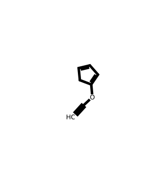 C#COC1=CC=CC1